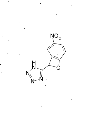 O=[N+]([O-])c1ccc2c(c1)C(c1nnn[nH]1)O2